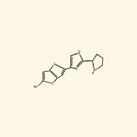 CN1CCCC1c1nc(-c2cc3sc(Br)cc3s2)c[nH]1